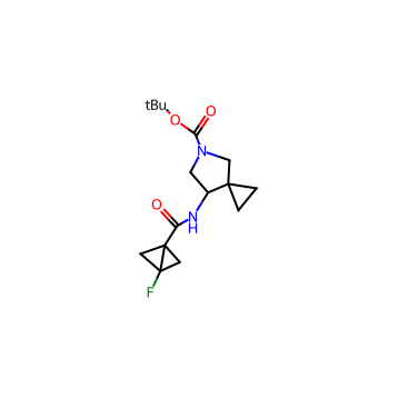 CC(C)(C)OC(=O)N1CC(NC(=O)C23CC2(F)C3)C2(CC2)C1